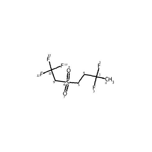 CC(F)(F)CCS(=O)(=O)CC(F)(F)F